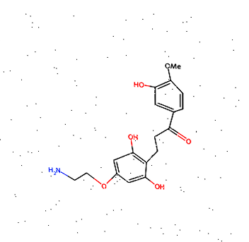 COc1ccc(C(=O)CCc2c(O)cc(OCCN)cc2O)cc1O